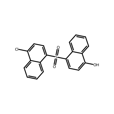 O=S(=O)(c1ccc(O)c2ccccc12)c1ccc(Cl)c2ccccc12